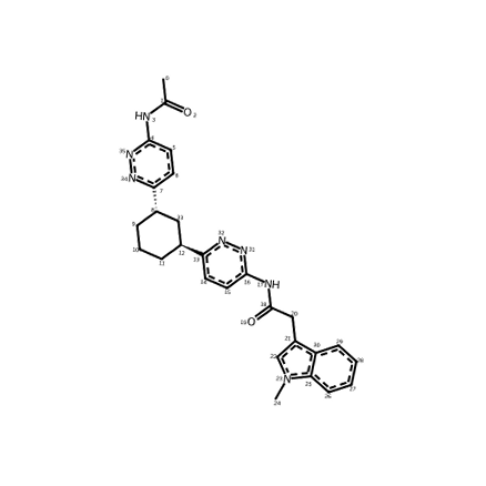 CC(=O)Nc1ccc([C@H]2CCC[C@H](c3ccc(NC(=O)Cc4cn(C)c5ccccc45)nn3)C2)nn1